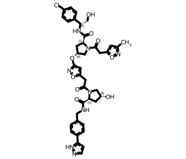 Cc1cc(CC(=O)N2C[C@H](Oc3cc(CC(=O)N4C[C@H](O)C[C@H]4C(=O)NCc4ccc(-c5ccn[nH]5)cc4)on3)C[C@H]2C(=O)N[C@@H](CO)c2ccc(Cl)cc2)on1